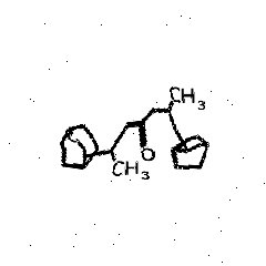 CC(CC(=O)CC(C)C1CC2CCC1CC2)C1CC2CCC1CC2